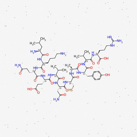 CC(C)C[C@H](N)C(=O)N[C@@H](CCCCN)C(=O)N[C@@H](CCC(N)=O)C(=O)N[C@@H](CCC(=O)O)C(=O)N[C@H](C(=O)N[C@@H](CC(N)=O)C(=O)N[C@@H](CS)C(=O)N[C@@H](C)C(=O)N[C@@H](Cc1ccc(O)cc1)C(=O)N[C@H](C(=O)N[C@@H](CCCNC(=N)N)C(=O)O)C(C)C)C(C)C